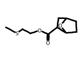 CSCCOC(=O)C1CC2CCC1O2